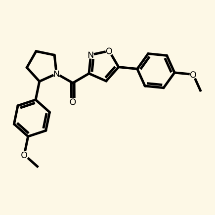 COc1ccc(-c2cc(C(=O)N3CCCC3c3ccc(OC)cc3)no2)cc1